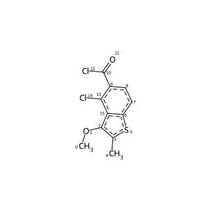 COc1c(C)sc2ccc(C(=O)Cl)c(Cl)c12